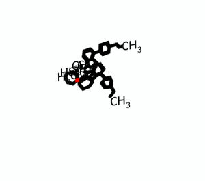 CCCc1ccc(-c2cccc3c2C=C(CC2CCCCCC2)[CH]3[Zr]([Cl])([Cl])([CH]2C(CC3CCCCCC3)=Cc3c(-c4ccc(CCC)cc4)cccc32)[SiH](C)C)cc1